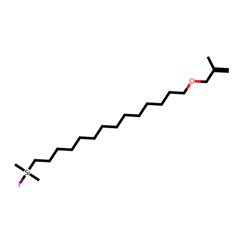 C=C(C)COCCCCCCCCCCCCCC[Si](C)(C)I